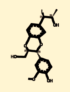 COc1cc([C@H]2Oc3cc([C@@H](I)[C@H](C)O)ccc3O[C@@H]2CO)ccc1O